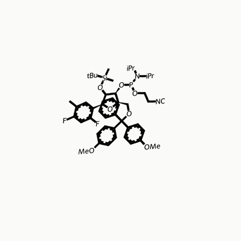 [C-]#[N+]CCOP(O[C@@H]1C(O[Si](C)(C)C(C)(C)C)[C@H](c2cc(C)c(F)cc2F)O[C@@H]1COC(c1ccccc1)(c1ccc(OC)cc1)c1ccc(OC)cc1)N(C(C)C)C(C)C